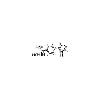 N=C(NO)c1ccc(-c2cnc[nH]2)cc1